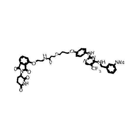 CNc1cccc(CNc2nc(Nc3ccc(OCCCOCCC(=O)NCCOc4cccc5c4C(=O)N(C4CCC(=O)NC4=O)C5=O)cc3)ncc2C(F)(F)F)c1